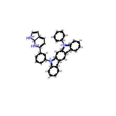 C1=CC2=CC=C(c3cccc(-n4c5ccccc5c5cc6c7ccccc7n(-c7ccccc7)c6cc54)c3)NC2N1